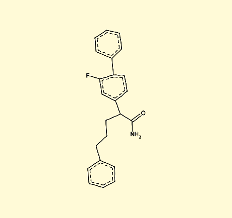 NC(=O)C(CCCc1ccccc1)c1ccc(-c2ccccc2)c(F)c1